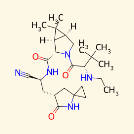 CCN[C@H](C(=O)N1C[C@H]2[C@@H]([C@H]1C(=O)N[C@H](C#N)C[C@@H]1CC3(CC3)NC1=O)C2(C)C)C(C)(C)C